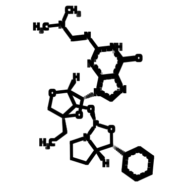 CC[C@@]12CO[C@@H](C1O[P@@]1O[C@H](c3ccccc3)[C@@H]3CCCN31)[C@H](n1cnc3c(=O)[nH]c(/N=C/N(C)C)nc31)O2